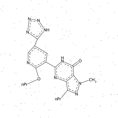 CCCOc1ncc(-c2nnn[nH]2)cc1-c1nc2c(CCC)nn(C)c2c(=O)[nH]1